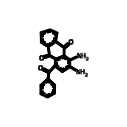 Nc1cc(C(=O)c2ccccc2)c2c(c1N)C(=O)c1ccccc1C2=O